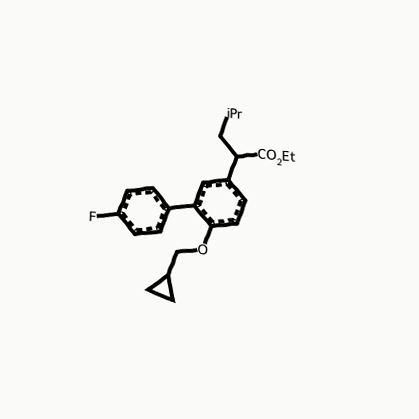 CCOC(=O)C(CC(C)C)c1ccc(OCC2CC2)c(-c2ccc(F)cc2)c1